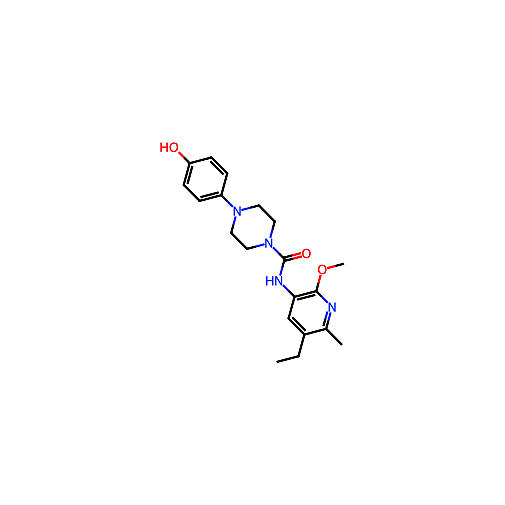 CCc1cc(NC(=O)N2CCN(c3ccc(O)cc3)CC2)c(OC)nc1C